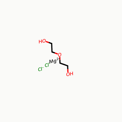 OCCOCCO.[Cl-].[Cl-].[Mg+2]